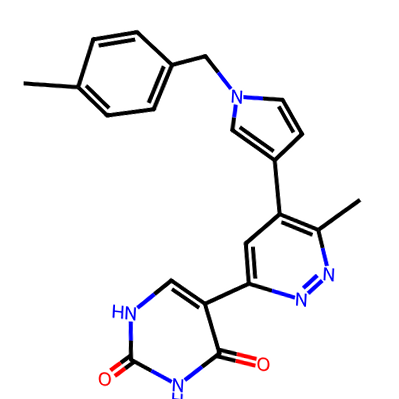 Cc1ccc(Cn2ccc(-c3cc(-c4c[nH]c(=O)[nH]c4=O)nnc3C)c2)cc1